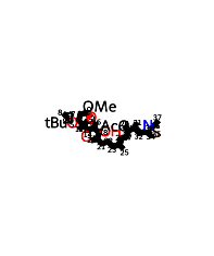 COC(=O)CC(O[Si](C)(C)C(C)(C)C)C(C)(C)C(=O)C(C)C(O)C(C)CCC/C(C)=C/CC(OC(C)=O)/C(C)=C/c1csc(C)n1